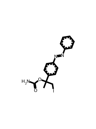 CC(CI)(OC(N)=O)c1ccc(N=Nc2ccccc2)cc1